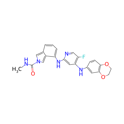 CNC(=O)n1cc2cccc(Nc3cc(Nc4ccc5c(c4)OCCO5)c(F)cn3)c2c1